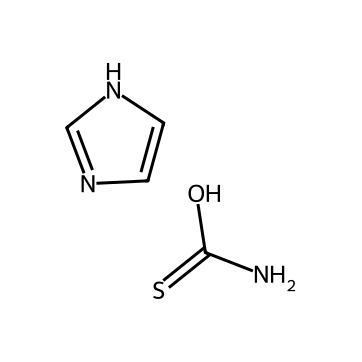 NC(O)=S.c1c[nH]cn1